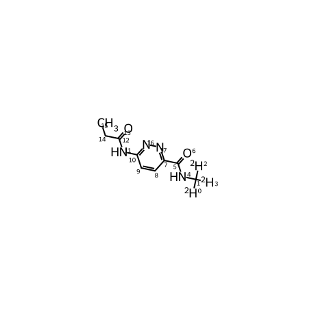 [2H]C([2H])([2H])NC(=O)c1ccc(NC(=O)CC)nn1